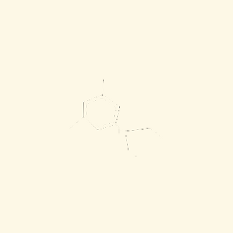 Cc1cc(C)cc([SiH](CCl)C(C)(C)C)c1